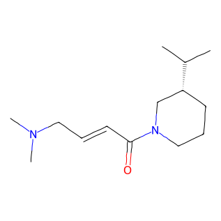 CC(C)[C@@H]1CCCN(C(=O)/C=C/CN(C)C)C1